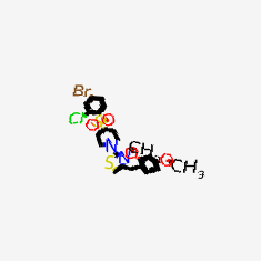 COc1ccc(Cc2csc(N3CCC(S(=O)(=O)c4ccc(Br)cc4Cl)CC3)n2)c(OC)c1